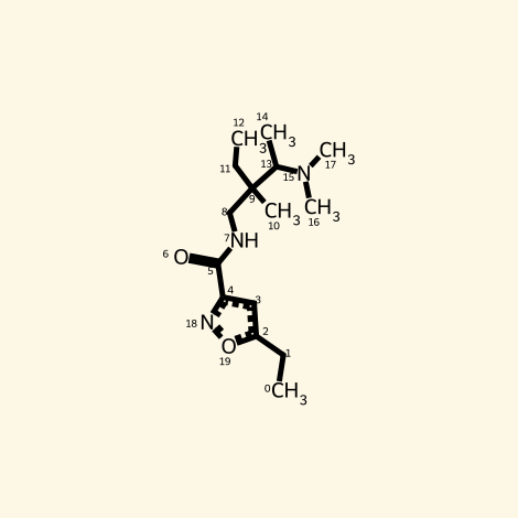 CCc1cc(C(=O)NCC(C)(CC)C(C)N(C)C)no1